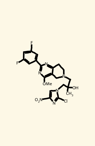 COc1nc(-c2cc(F)cc(F)c2)nc2c1CN(CC(C)(O)Cn1cc([N+](=O)[O-])nc1Cl)CC2